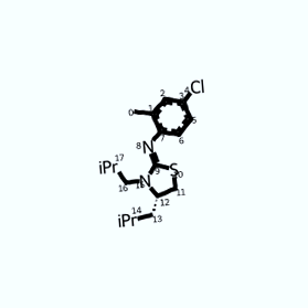 Cc1cc(Cl)ccc1N=C1SC[C@H](CC(C)C)N1CC(C)C